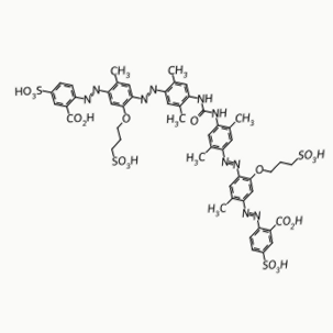 Cc1cc(NC(=O)Nc2cc(C)c(N=Nc3cc(C)c(N=Nc4ccc(S(=O)(=O)O)cc4C(=O)O)cc3OCCCS(=O)(=O)O)cc2C)c(C)cc1N=Nc1cc(C)c(N=Nc2ccc(S(=O)(=O)O)cc2C(=O)O)cc1OCCCS(=O)(=O)O